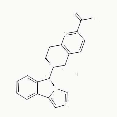 NC(=O)c1ccc2c(n1)CC[C@H]([C@@H]1c3ccccc3-c3cncn31)[C@H]2O